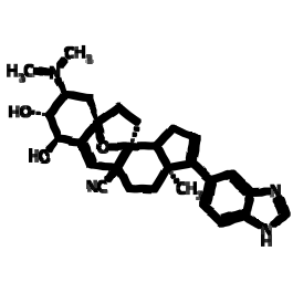 CN(C)[C@H]1C[C@@]23CC[C@]4(O2)C2CC=C(c5ccc6[nH]cnc6c5)[C@@]2(C)CCC4(C#N)C=C3[C@@H](O)[C@@H]1O